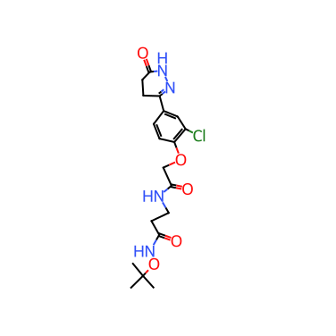 CC(C)(C)ONC(=O)CCNC(=O)COc1ccc(C2=NNC(=O)CC2)cc1Cl